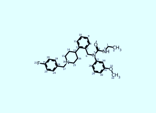 CCNC(=O)N(Cc1ccccc1C1CCN(Cc2ccc(F)cc2)CC1)c1cccc(OC)c1